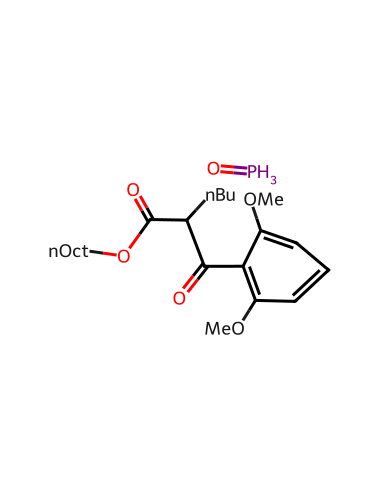 CCCCCCCCOC(=O)C(CCCC)C(=O)c1c(OC)cccc1OC.O=[PH3]